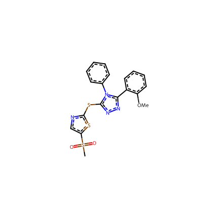 COc1ccccc1-c1nnc(Sc2ncc(S(C)(=O)=O)s2)n1-c1ccccc1